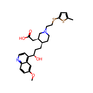 COc1ccc2nccc([C@H](O)CC[C@@H]3CCN(CCSc4ccc(C)s4)C[C@@H]3CC(=O)O)c2c1